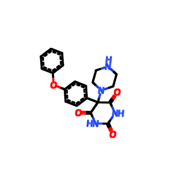 O=C1NC(=O)C(c2ccc(Oc3ccccc3)cc2)(N2CCNCC2)C(=O)N1